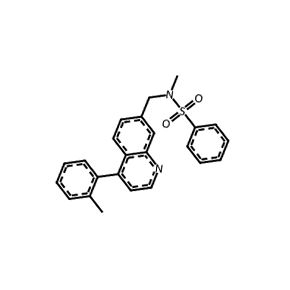 Cc1ccccc1-c1ccnc2cc(CN(C)S(=O)(=O)c3ccccc3)ccc12